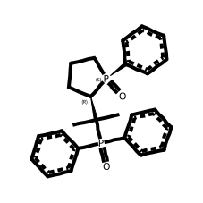 CC(C)([C@H]1CCC[P@@]1(=O)c1ccccc1)P(=O)(c1ccccc1)c1ccccc1